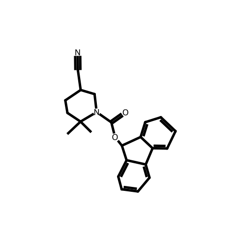 CC1(C)CCC(C#N)CN1C(=O)OC1c2ccccc2-c2ccccc21